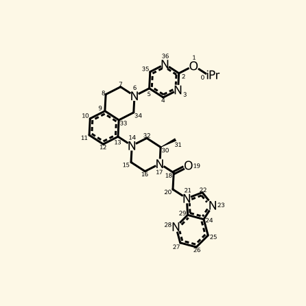 CC(C)Oc1ncc(N2CCc3cccc(N4CCN(C(=O)Cn5cnc6cccnc65)[C@H](C)C4)c3C2)cn1